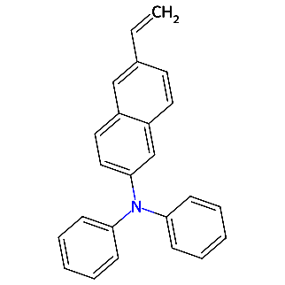 C=Cc1ccc2cc(N(c3ccccc3)c3ccccc3)ccc2c1